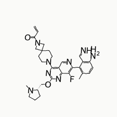 C=CC(=O)N1CC2(CCN(c3nc(OC[C@@H]4CCCN4C)nc4c(F)c(-c5c(C)ccc(N)c5C=N)ncc34)CC2)C1